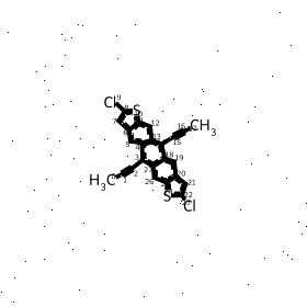 CC#Cc1c2cc3cc(Cl)sc3cc2c(C#CC)c2cc3cc(Cl)sc3cc12